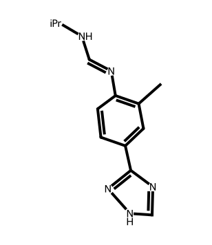 Cc1cc(-c2nc[nH]n2)ccc1/N=C/NC(C)C